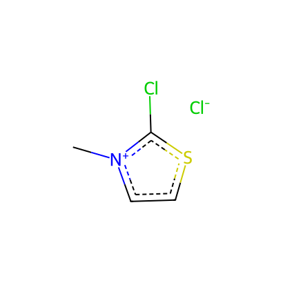 C[n+]1ccsc1Cl.[Cl-]